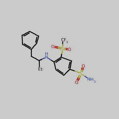 C[CH]C(Cc1ccccc1)Nc1ccc(S(N)(=O)=O)cc1S(=O)(=O)C(F)(F)F